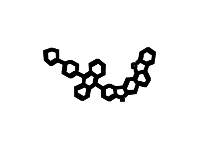 C1=CCCC(C2=CC=C(c3c4ccccc4c(C4=CC=C5Sc6cc7ccc8c9ccccc9oc8c7cc6C5C4)c4ccccc34)CC2)=C1